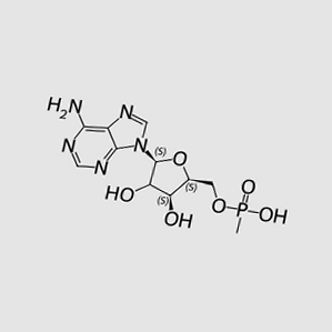 CP(=O)(O)OC[C@@H]1O[C@H](n2cnc3c(N)ncnc32)C(O)[C@@H]1O